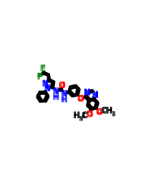 COc1cc2ncnc(Oc3cccc(NC(=O)Nc4cc(CC(F)F)nn4-c4ccccc4)c3)c2cc1OC